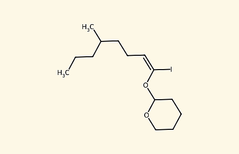 CCCC(C)CC/C=C(/I)OC1CCCCO1